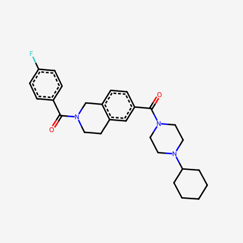 O=C(c1ccc2c(c1)CCN(C(=O)c1ccc(F)cc1)C2)N1CCN(C2CCCCC2)CC1